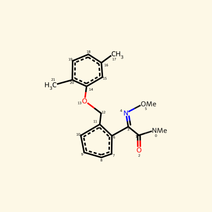 CNC(=O)/C(=N\OC)c1ccccc1COc1cc(C)ccc1C